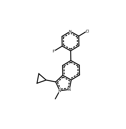 Cn1nc2ccc(-c3cc(Cl)ncc3F)cc2c1C1CC1